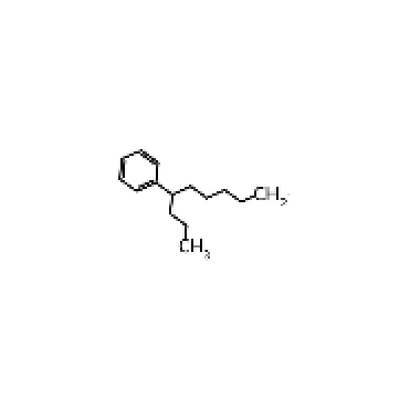 [CH2]CCCCC(CCC)c1ccccc1